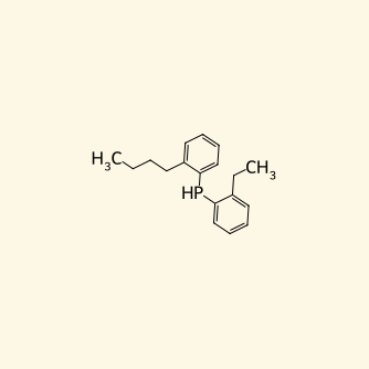 CCCCc1ccccc1Pc1ccccc1CC